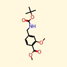 COC(=O)c1ccc(CNC(=O)OC(C)(C)C)cc1OC